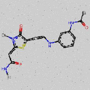 CCNC(=O)/C=c1\sc(=C=CNc2cccc(NC(=O)CC)c2)c(=O)n1CC